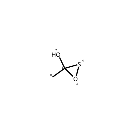 CC1(O)OS1